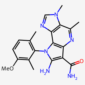 COc1ccc(C)c(-n2c(N)c(C(N)=O)c3nc(C)c4c(ncn4C)c32)c1C